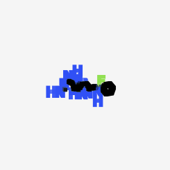 N=C/N=C(/N)c1ccc(C/C(=C/Nc2ccccc2F)N=N)[nH]1